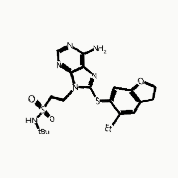 CCc1cc2c(cc1Sc1nc3c(N)ncnc3n1CCS(=O)(=O)NC(C)(C)C)OCC2